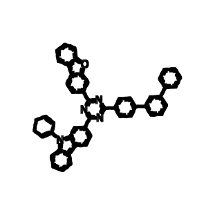 C1=CC(n2c3ccccc3c3ccc(-c4nc(-c5ccc(-c6cccc(-c7ccccc7)c6)cc5)nc(-c5ccc6c(c5)oc5ccccc56)n4)cc32)=CCC1